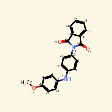 COc1ccc(Nc2ccc(N3C(=O)c4ccccc4C3=O)cc2)cc1